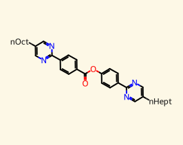 CCCCCCCCc1cnc(-c2ccc(C(=O)Oc3ccc(-c4ncc(CCCCCCC)cn4)cc3)cc2)nc1